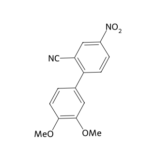 COc1ccc(-c2ccc([N+](=O)[O-])cc2C#N)cc1OC